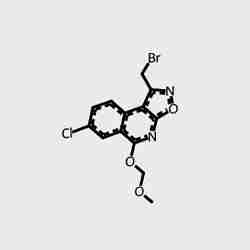 COCOc1nc2onc(CBr)c2c2ccc(Cl)cc12